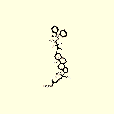 C[C@@H](O[Si](c1ccccc1)(c1ccccc1)C(C)(C)C)C(C)(C)C(=O)OC1CC[C@@]2(C)C(CCC3C2CC[C@@]2(C)C3CC[C@@H]2C(C)(C)C[C@@H](O)CC(=O)CC(=O)O)C1